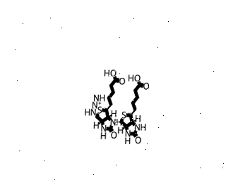 N=[N+]=N.O=C(O)CCCC[C@@H]1SC[C@@H]2NC(=O)N[C@@H]21.O=C(O)CCCC[C@@H]1SC[C@@H]2NC(=O)N[C@@H]21